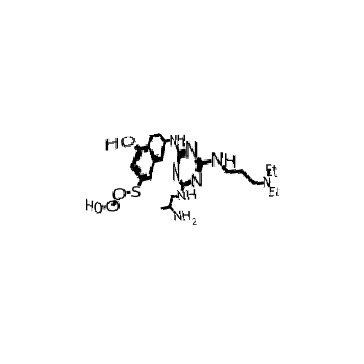 CCN(CC)CCCNc1nc(NCC(C)N)nc(Nc2ccc3c(O)cc(SOOO)cc3c2)n1